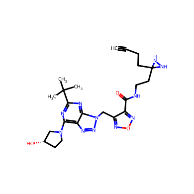 C#CCCC1(CCNC(=O)c2nonc2Cn2nnc3c(N4CC[C@H](O)C4)nc(C(C)(C)C)nc32)NN1